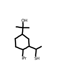 CC(C)C1CCC(C(C)(C)O)CC1C(C)S